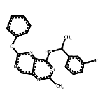 Cc1nc(NC(C)c2cccc(Br)c2)c2nc(Oc3ccccc3)ncc2n1